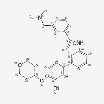 CN(C)Cc1cccc(-c2cc3c(-c4ccc(OC5CCOCC5)c(C#N)c4)cccc3[nH]2)c1